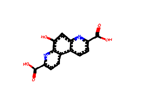 O=C(O)c1ccc2c(cc(O)c3nc(C(=O)O)ccc32)n1